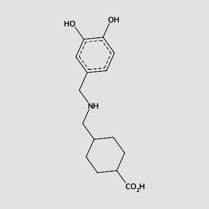 O=C(O)C1CCC(CNCc2ccc(O)c(O)c2)CC1